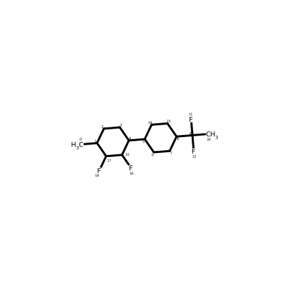 CC1CCC(C2CCC(C(C)(F)F)CC2)C(F)C1F